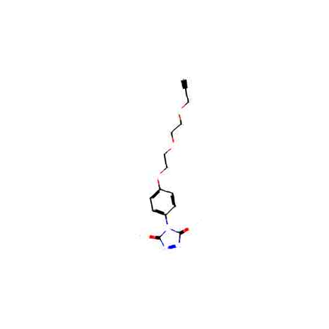 C#CCOCCOCCOc1ccc(N2C(=O)N=NC2=O)cc1